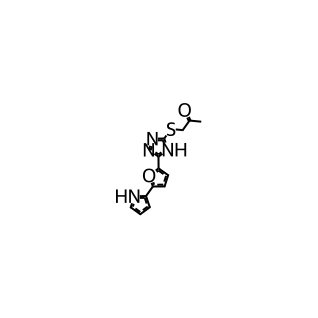 CC(=O)CSc1nnc(-c2ccc(-c3ccc[nH]3)o2)[nH]1